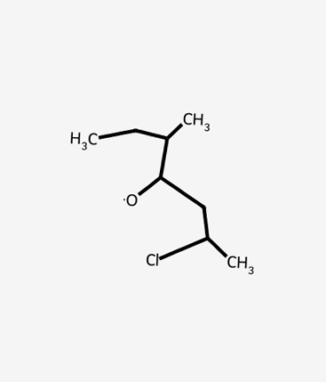 CCC(C)C([O])CC(C)Cl